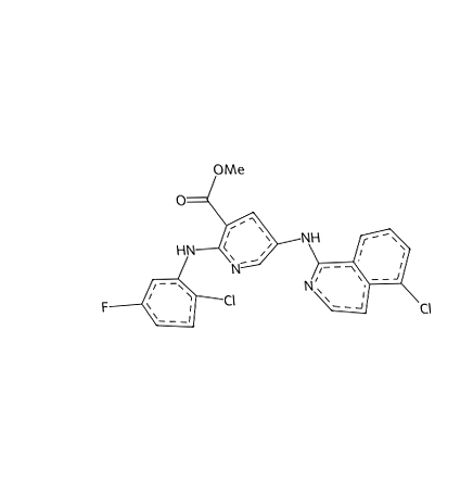 COC(=O)c1cc(Nc2nccc3c(Cl)cccc23)cnc1Nc1cc(F)ccc1Cl